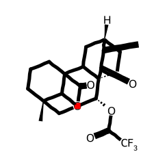 C=C1C(=O)[C@]23CC[C@H]1CC2C12CCC[C@@](C)(COC1=O)C2C[C@H]3OC(=O)C(F)(F)F